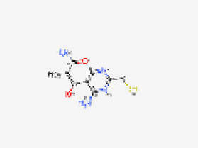 N#CC(C(N)=O)=C(O)c1cnc(CS)nc1N